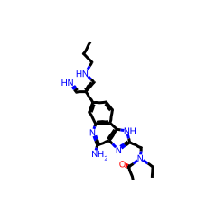 CCCN/C=C(\C=N)c1ccc2c(c1)nc(N)c1nc(CN(CC)C(C)=O)[nH]c12